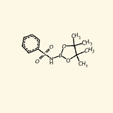 CC1(C)OB(NS(=O)(=O)c2ccccc2)OC1(C)C